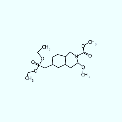 CCOP(=O)(CC1CCC2CN(C(=O)OC)C(OC)CC2C1)OCC